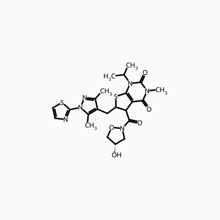 Cc1nn(-c2nccs2)c(C)c1CC1Sc2c(c(=O)n(C)c(=O)n2C(C)C)C1C(=O)N1C[C@H](O)CO1